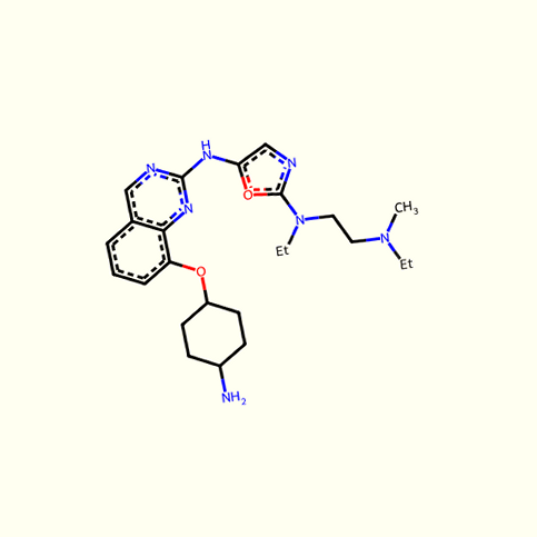 CCN(C)CCN(CC)c1ncc(Nc2ncc3cccc(OC4CCC(N)CC4)c3n2)o1